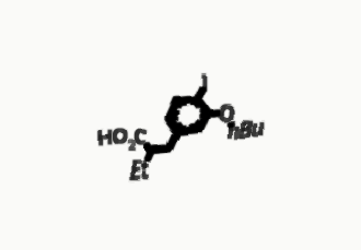 CCCCOc1cc(C=C(CC)C(=O)O)ccc1I